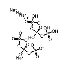 O=P(O)(O)OP(=O)(O)OP(=O)(O)O.O=P([O-])([O-])OP(=O)([O-])OP(=O)([O-])[O-].[Na+].[Na+].[Na+].[Na+].[Na+]